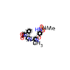 CNS(=O)(=O)Nc1ccc(Oc2ccc(CN3CCC(N4C(=O)OC[C@H]4c4ccccc4)CC3)c(C)n2)cc1